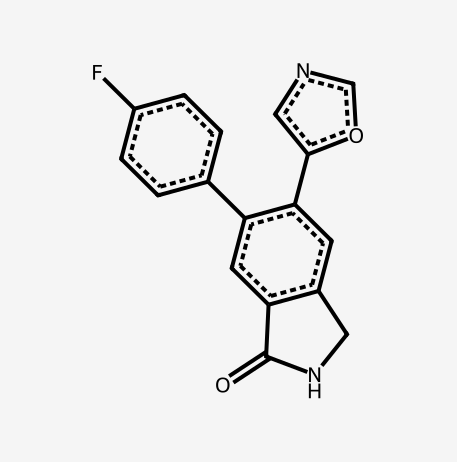 O=C1NCc2cc(-c3cnco3)c(-c3ccc(F)cc3)cc21